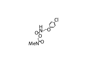 CNC(=O)COC(=O)NCCOc1ccc(Cl)cc1